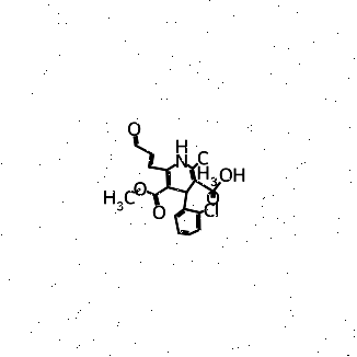 COC(=O)C1=C(C=CC=O)NC(C)=C(C(=O)O)C1c1ccccc1Cl